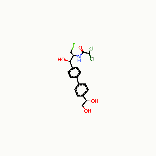 O=C(N[C@H](CF)[C@H](O)c1ccc(-c2ccc([C@H](O)CO)cc2)cc1)C(Cl)Cl